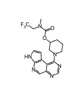 CN(CC(F)(F)F)C(=O)OC1CCCN(c2ncnc3cnc4[nH]ccc4c23)C1